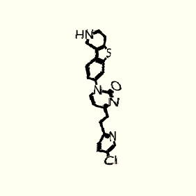 O=c1nc(CCc2ccc(Cl)cn2)ccn1-c1ccc2c3c(sc2c1)CCNC3